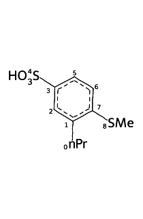 CCCc1cc(S(=O)(=O)O)ccc1SC